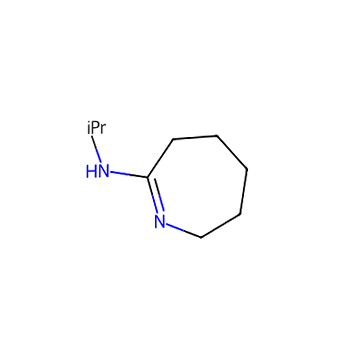 CC(C)NC1=NCCCCC1